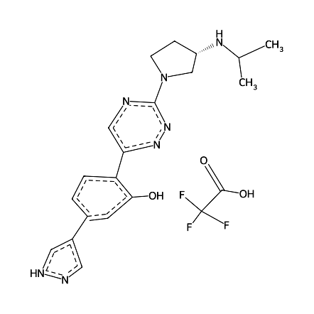 CC(C)N[C@H]1CCN(c2ncc(-c3ccc(-c4cn[nH]c4)cc3O)nn2)C1.O=C(O)C(F)(F)F